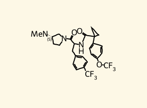 CN[C@H]1CCN(C(=O)C(Cc2ccc(C(F)(F)F)cc2)NC(=O)C2(c3ccc(OC(F)(F)F)cc3)CC2)C1